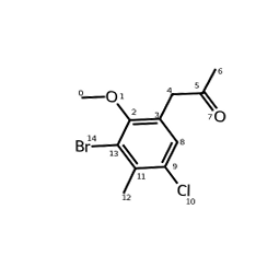 COc1c(CC(C)=O)cc(Cl)c(C)c1Br